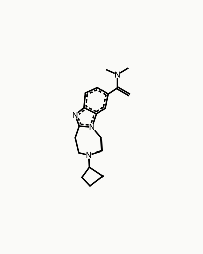 C=C(c1ccc2nc3n(c2c1)CCN(C1CCC1)CC3)N(C)C